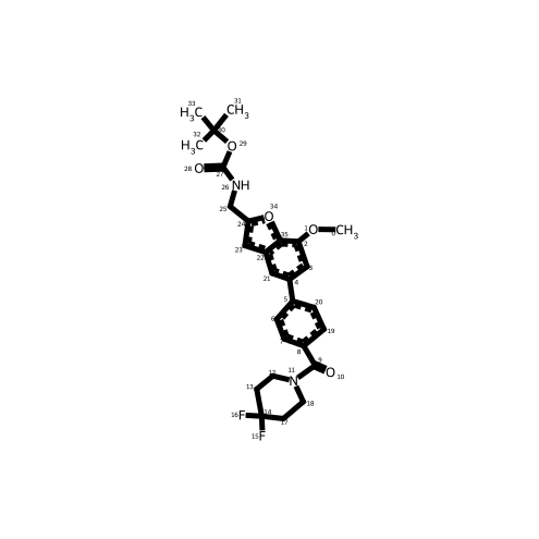 COc1cc(-c2ccc(C(=O)N3CCC(F)(F)CC3)cc2)cc2cc(CNC(=O)OC(C)(C)C)oc12